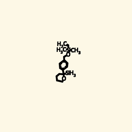 C=C[Si](C)(C)OCc1ccc(C2([SiH3])CCCCO2)cc1